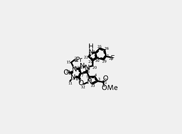 COC(=O)c1cc(-c2c3c(=O)n(C)c(=O)n(CC(C)C)c3nn2Cc2c[nH]c3ccc(F)cc23)n(C)c1